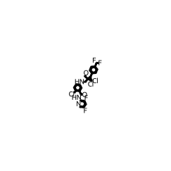 O=CC1(CNc2ccc(Cl)c(C(=O)Nc3ncc(F)cc3F)c2)C(c2ccc(C(F)F)cc2)C1(Cl)Cl